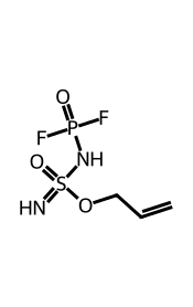 C=CCOS(=N)(=O)NP(=O)(F)F